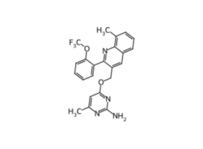 Cc1cc(OCc2cc3cccc(C)c3nc2-c2ccccc2OC(F)(F)F)nc(N)n1